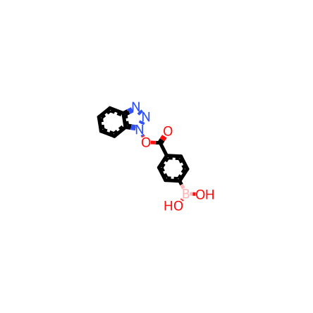 O=C(On1nnc2ccccc21)c1ccc(B(O)O)cc1